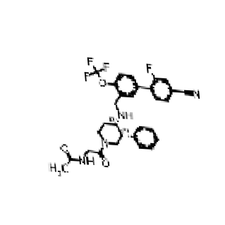 CC(=O)NCC(=O)N1CC[C@H](NCc2cc(-c3ccc(C#N)cc3F)ccc2OC(F)(F)F)[C@H](c2ccccc2)C1